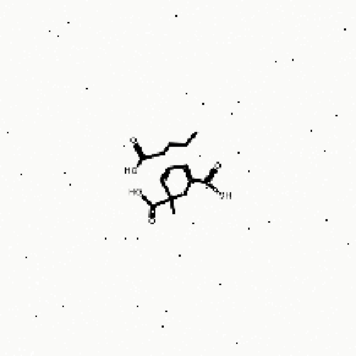 CC1(C(=O)O)C=CC=C(C(=O)O)C1.CCCCC(=O)O